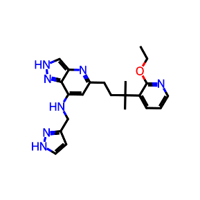 CCOc1ncccc1C(C)(C)CCc1cc(NCc2cc[nH]n2)c2n[nH]cc2n1